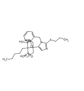 CCCCCC(C(=O)O)(C(=O)O)C(CC)(CC)c1cnc(SCCC)n1Cc1ccccc1Cl